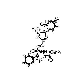 CCCOC(=O)[C@H](C)NP(=O)(OC[C@@H]1C[C@H](C)[C@H](n2ccc(=O)[nH]c2=O)O1)Oc1ccccc1